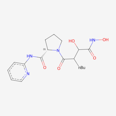 CCCCC(C(=O)N1CCC[C@H]1C(=O)Nc1ccccn1)C(O)C(=O)NO